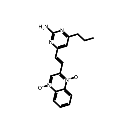 CCCc1cc(/C=C/c2c[n+]([O-])c3ccccc3[n+]2[O-])nc(N)n1